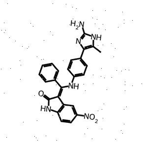 Cc1[nH]c(N)nc1-c1ccc(NC(=C2C(=O)Nc3ccc([N+](=O)[O-])cc32)c2ccccc2)cc1